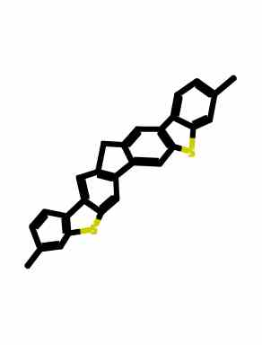 Cc1ccc2c(c1)sc1cc3c(cc12)Cc1cc2c(cc1-3)sc1cc(C)ccc12